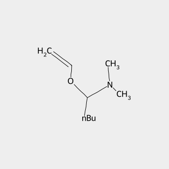 C=COC(CCCC)N(C)C